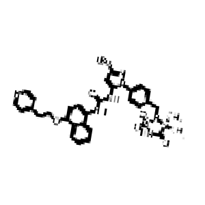 CC(C)(C)c1cc(NC(=O)Nc2ccc(OCCc3ccncc3)c3ccccc23)n(-c2ccc(CN3S(C)(C)C(=O)NS3(=O)=O)cc2)n1